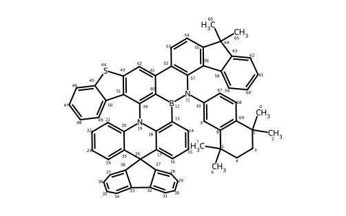 CC1(C)CCC(C)(C)c2cc(N3B4c5cccc6c5N(c5ccccc5C65c6ccccc6-c6ccccc65)c5c4c(cc4sc6ccccc6c54)-c4ccc5c(c43)-c3ccccc3C5(C)C)ccc21